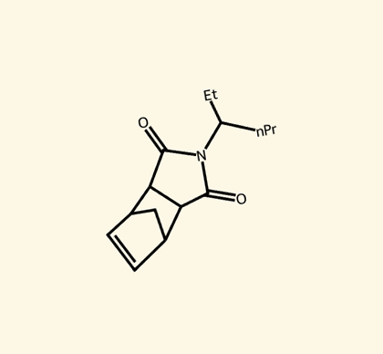 CCCC(CC)N1C(=O)C2C3C=CC(C3)C2C1=O